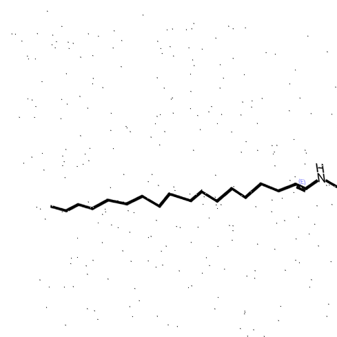 CCCCCCCCCCCCCCCC/C=C/NC